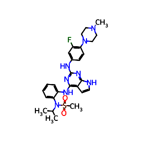 CC(C)N(c1ccccc1Nc1nc(Nc2ccc(N3CCN(C)CC3)c(F)c2)nc2[nH]ccc12)S(C)(=O)=O